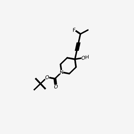 CC(F)C#CC1(O)CCN(C(=O)OC(C)(C)C)CC1